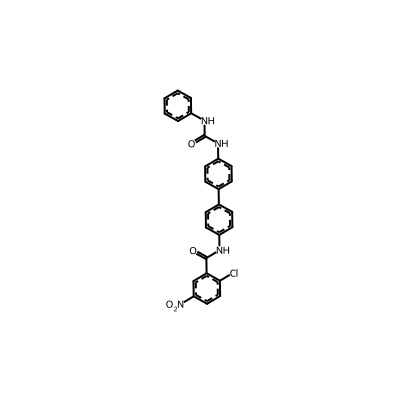 O=C(Nc1ccccc1)Nc1ccc(-c2ccc(NC(=O)c3cc([N+](=O)[O-])ccc3Cl)cc2)cc1